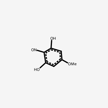 COc1cc(O)c(N=O)c(O)c1